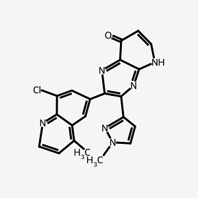 Cc1ccnc2c(Cl)cc(-c3nc4c(=O)cc[nH]c4nc3-c3ccn(C)n3)cc12